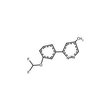 Cc1cnnc(-c2cccc(OC(F)F)c2)c1